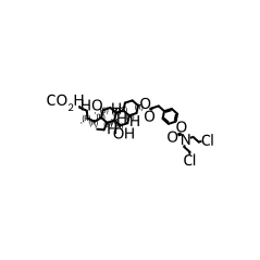 C[C@H](CCC(=O)O)[C@H]1CC[C@H]2[C@@H]3[C@H](O)C[C@@H]4C[C@H](OC(=O)Cc5ccc(OC(=O)N(CCCl)CCCl)cc5)CC[C@]4(C)[C@H]3C[C@H](O)[C@]12C